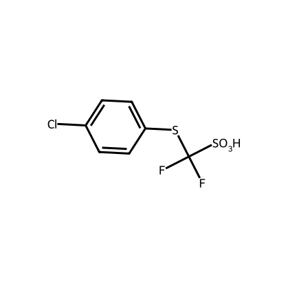 O=S(=O)(O)C(F)(F)Sc1ccc(Cl)cc1